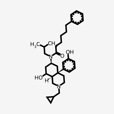 CC(C)CN(C(=O)CCCCCc1ccccc1)[C@@H]1CC(O)[C@@H]2CN(CC3CC3)CC[C@@]2(c2cccc(O)c2)C1